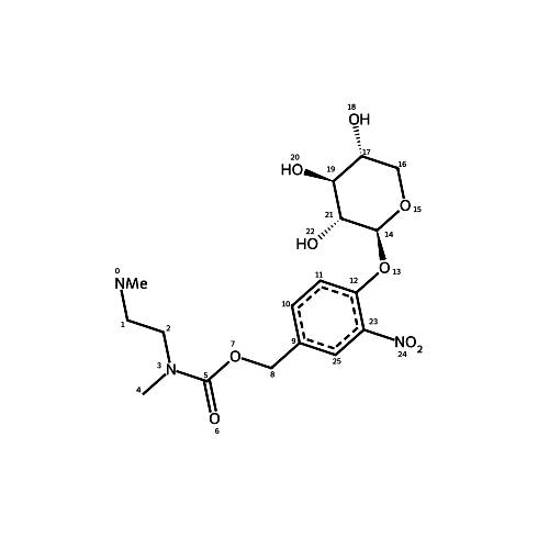 CNCCN(C)C(=O)OCc1ccc(O[C@@H]2OC[C@@H](O)[C@H](O)[C@H]2O)c([N+](=O)[O-])c1